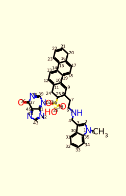 Cn1cc(CNCCC2C=c3c(ccc4c5c(ccc34)CC=CC=5)CC2S(=O)(=O)O)c2ccccc21.O=C1N=CN=C2N=CN=C12